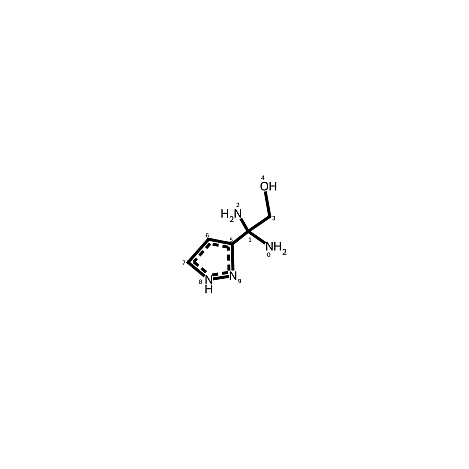 NC(N)(CO)c1cc[nH]n1